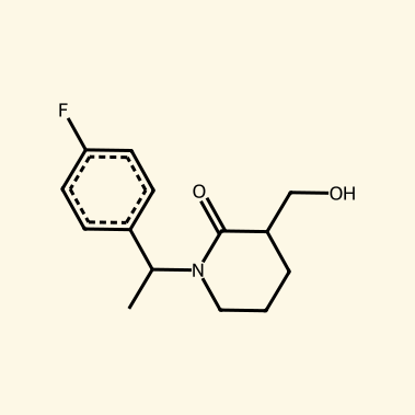 CC(c1ccc(F)cc1)N1CCCC(CO)C1=O